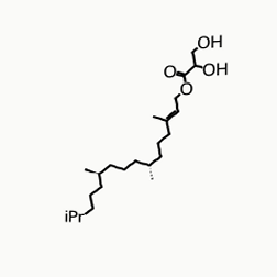 C/C(=C\COC(=O)C(O)CO)CCC[C@H](C)CCC[C@H](C)CCCC(C)C